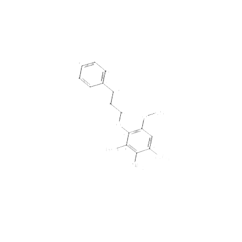 COc1[c]c(C)c(N)c(O)c1OCCCc1ccccc1